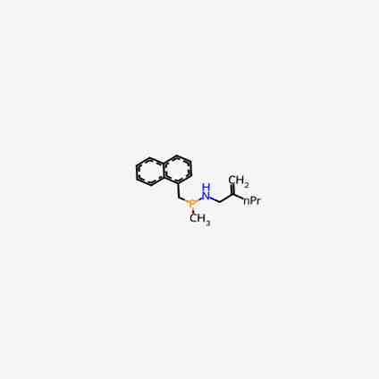 C=C(CCC)CNP(C)Cc1cccc2ccccc12